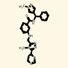 Cn1cc(C(NC(=O)c2cccc(NCc3nnc(-c4ccncn4)n3C)c2)c2ccccc2)cn1